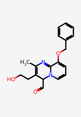 CC1=C(CCO)C(C=O)N2C=CC=C(OCc3ccccc3)C2=N1